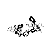 C[C@@H](c1ncc(-c2ccc(-c3ncc(-c4cnc([C@@H]5CCCN5C(=O)[C@@H](c5ccccc5)N(C)C)[nH]4)cn3)cc2)[nH]1)N(C)OC[C@@H](c1ccccc1)N(C)C